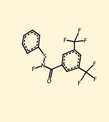 O=C(c1cc(C(F)(F)F)cc(C(F)(F)F)c1)N(F)Sc1ccccc1